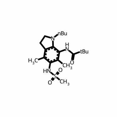 CCCCN1CCc2c(C)c(NS(C)(=O)=O)c(C)c(NC(=O)C(C)(C)C)c21